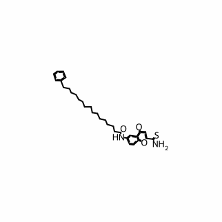 NC(=S)c1cc(=O)c2cc(NC(=O)CCCCCCCCCCCCCCCc3ccccc3)ccc2o1